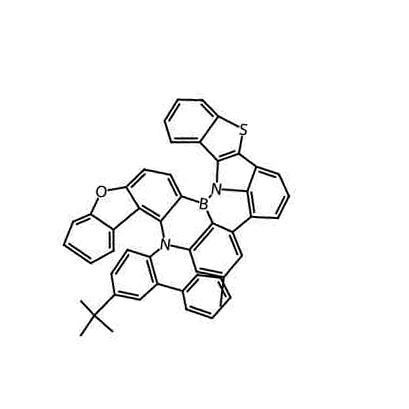 Cc1cc2c3c(c1)N(c1ccc(C(C)(C)C)cc1-c1ccccc1)c1c(ccc4oc5ccccc5c14)B3n1c3c-2cccc3c2sc3ccccc3c21